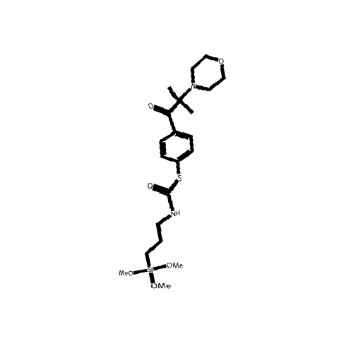 CO[Si](CCCNC(=O)Sc1ccc(C(=O)C(C)(C)N2CCOCC2)cc1)(OC)OC